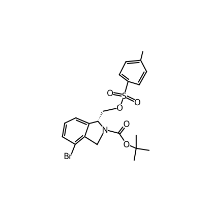 Cc1ccc(S(=O)(=O)OC[C@H]2c3cccc(Br)c3CN2C(=O)OC(C)(C)C)cc1